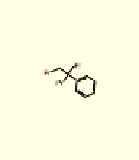 CC(C)CC(c1ccccc1)(C(C)C)C(C)C